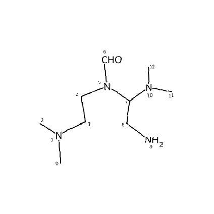 CN(C)CCN(C=O)C(CN)N(C)C